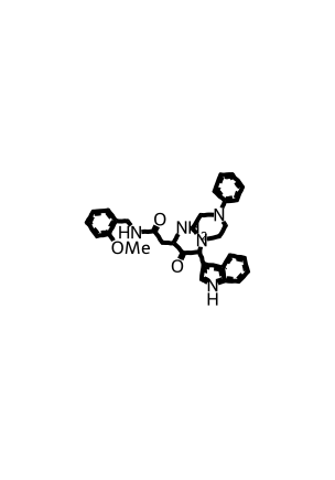 COc1ccccc1CNC(=O)CC(N)C(=O)C(c1c[nH]c2ccccc12)N1CCN(c2ccccc2)CC1